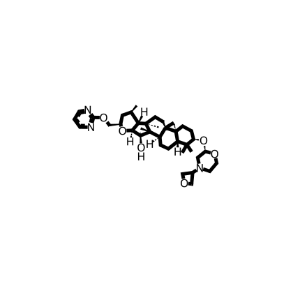 C[C@@H]1C[C@H](COc2ncccn2)O[C@H]2[C@H]1[C@@]1(C)CC[C@@]34C[C@@]35CC[C@H](O[C@H]3CN(C6COC6)CCO3)C(C)(C)[C@@H]5CC[C@H]4[C@]1(C)[C@H]2O